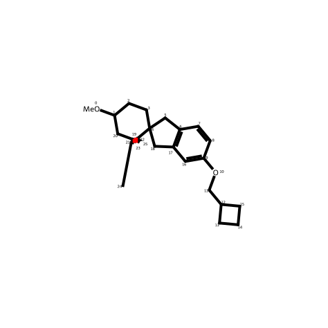 COC1CCC2(Cc3ccc(OCC4CCC4)cc3C2)C2(C1)N=CC(C)=N2